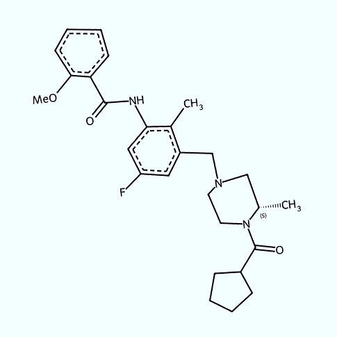 COc1ccccc1C(=O)Nc1cc(F)cc(CN2CCN(C(=O)C3CCCC3)[C@@H](C)C2)c1C